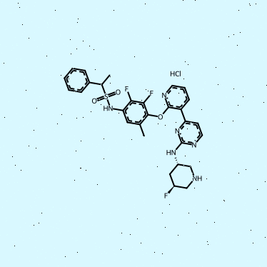 Cc1cc(NS(=O)(=O)C(C)c2ccccc2)c(F)c(F)c1Oc1ncccc1-c1ccnc(N[C@@H]2CNC[C@@H](F)C2)n1.Cl